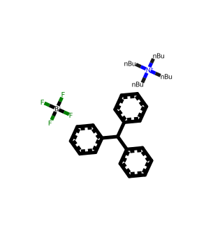 CCCC[N+](CCCC)(CCCC)CCCC.F[B-](F)(F)F.c1ccc(C(c2ccccc2)c2ccccc2)cc1